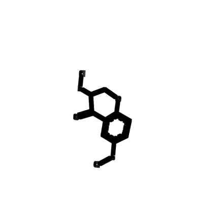 O=C1c2cc(SCl)ccc2OCC1SCl